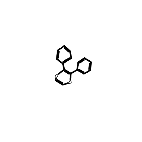 C1=COC(c2ccccc2)=C(c2ccccc2)O1